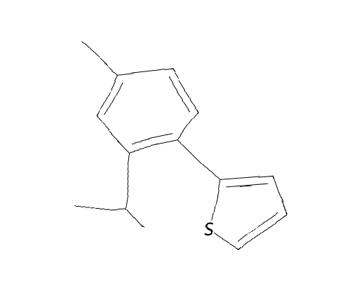 Cc1ccc(-c2cccs2)c(C(C)C)c1